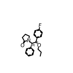 CCCO[C@H](c1ccc(F)cc1)[C@@H](c1ccccc1)N1CCCC1=O